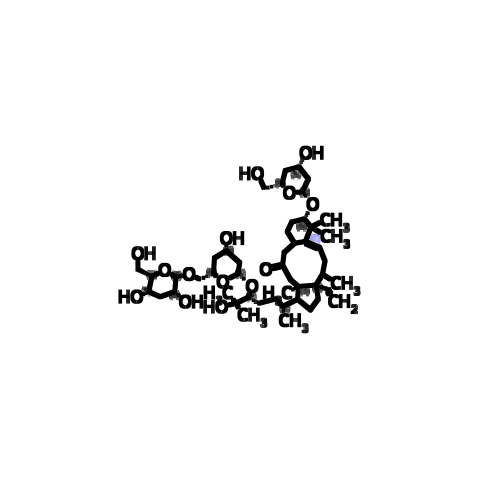 C=C[C@@]12CCC([C@H](C)CC[C@@H](O[C@H]3C[C@@H](O)C[C@@H](CO[C@@H]4O[C@H](CO)[C@@H](O)C[C@H]4O)O3)C(C)(C)O)[C@@]1(C)CC(=O)CC1CC[C@H](O[C@H]3C[C@@H](O)C[C@@H](CO)O3)C(C)(C)/C1=C/CC2C